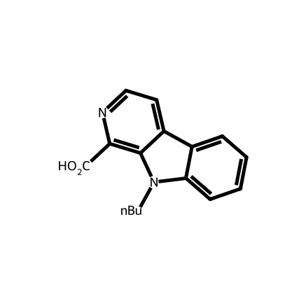 CCCCn1c2ccccc2c2ccnc(C(=O)O)c21